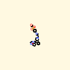 O=S(=O)(c1ccc(N2CC(CN3CCC(C(Cn4ccnc4)(c4ccccc4)C4CCCC4)CC3)C2)cc1)C1COC1